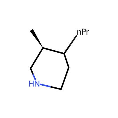 CCCC1CCNC[C@H]1C